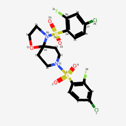 O=S(=O)(c1ccc(Cl)cc1F)N1CCC2(CC1)OCCN2S(=O)(=O)c1ccc(Cl)cc1F